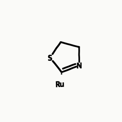 [C]1=NCCS1.[Ru]